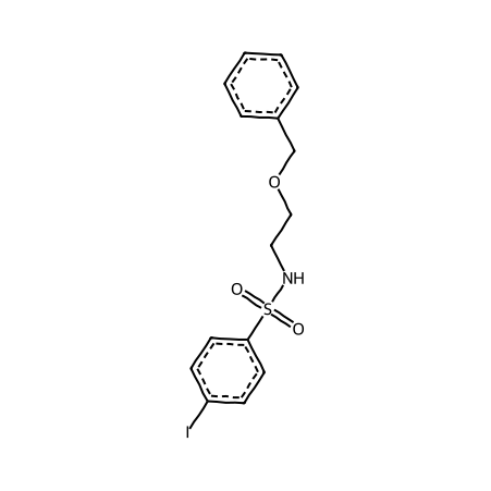 O=S(=O)(NCCOCc1ccccc1)c1ccc(I)cc1